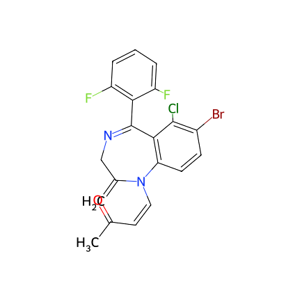 C=C1CN=C(c2c(F)cccc2F)c2c(ccc(Br)c2Cl)N1/C=C\C(C)=O